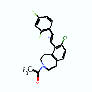 O=C(N1CCc2ccc(Cl)c(/C=C/c3ccc(F)cc3F)c2CC1)C(F)(F)F